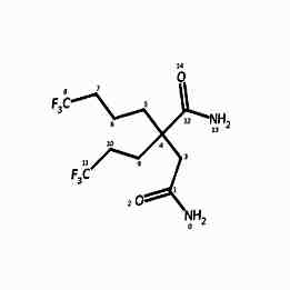 NC(=O)CC(CCCC(F)(F)F)(CCC(F)(F)F)C(N)=O